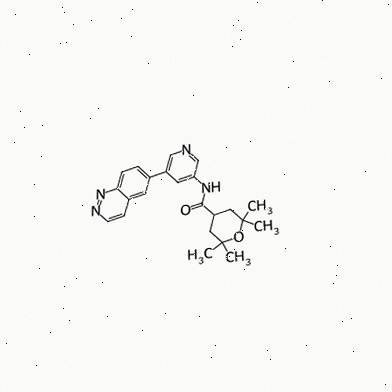 CC1(C)CC(C(=O)Nc2cncc(-c3ccc4nnccc4c3)c2)CC(C)(C)O1